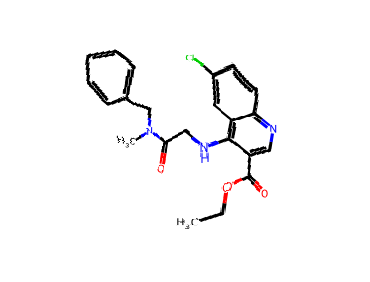 CCOC(=O)c1cnc2ccc(Cl)cc2c1NCC(=O)N(C)Cc1ccccc1